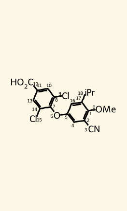 COc1c(C#N)cc(Oc2c(Cl)cc(C(=O)O)cc2Cl)cc1C(C)C